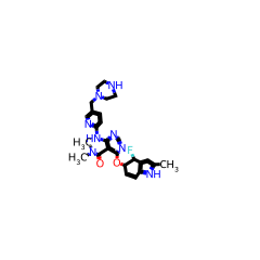 Cc1cc2c([nH]1)C=CC(Oc1ncnc(Nc3ccc(CN4CCNCC4)cn3)c1C(=O)N(C)C)C2F